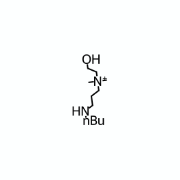 CCCCNCCC[N+](C)(C)CCO